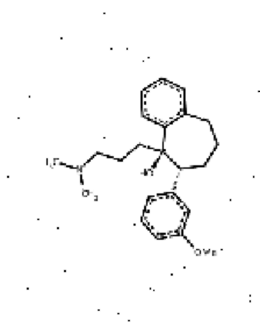 COc1cccc([C@H]2CCCc3ccccc3[C@@]2(O)CCCN(C)C)c1